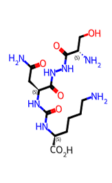 NCCCC[C@H](NC(=O)N[C@@H](CC(N)=O)C(=O)NNC(=O)[C@@H](N)CO)C(=O)O